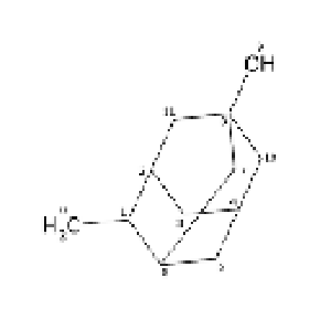 CC1C2CC3CC1CC(O)(C3)C2